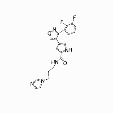 O=C(NCCCn1ccnc1)c1cc(-c2conc2-c2cccc(F)c2F)c[nH]1